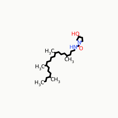 CCCC(C)CCCC(C)CCCCC(C)CCCC(C)CCCNC(=O)N1CC[C@@H](O)C1